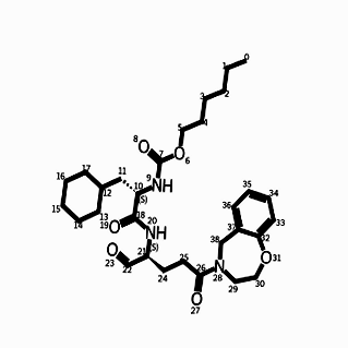 CCCCCCOC(=O)N[C@@H](CC1CCCCC1)C(=O)N[C@H](C=O)CCC(=O)N1CCOc2ccccc2C1